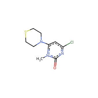 Cn1c(N2CCSCC2)cc(Cl)nc1=O